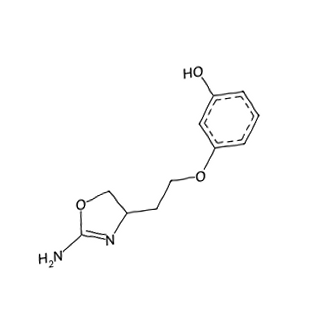 NC1=NC(CCOc2cccc(O)c2)CO1